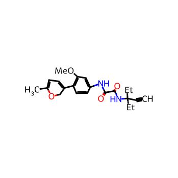 C#CC(CC)(CC)NC(=O)C(=O)Nc1ccc(C2=CC=C(C)OC2)c(OC)c1